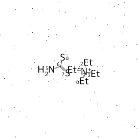 CC[N+](CC)(CC)CC.NC(=S)[S-]